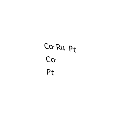 [Co].[Co].[Pt].[Pt].[Ru]